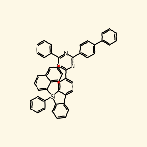 c1ccc(-c2ccc(-c3nc(-c4ccccc4)nc(-c4ccc5c(c4)[Si](c4ccccc4)(c4cccc6ccccc46)c4ccccc4-5)n3)cc2)cc1